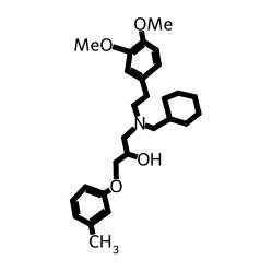 COc1ccc(CCN(CC(O)COc2cccc(C)c2)CC2CCCCC2)cc1OC